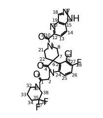 O=C(CN1C(=O)C2(CCN(C(=O)c3ccc4[nH]ncc4n3)CC2)c2c1ccc(F)c2Cl)N1CCCC(F)(F)C1